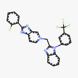 Fc1ccccc1-c1nc2ccn(Cc3nc4ccccc4n3-c3cccc(C(F)(F)F)c3)cc-2n1